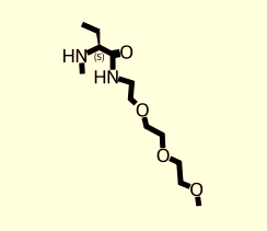 CC[C@H](NC)C(=O)NCCOCCOCCOC